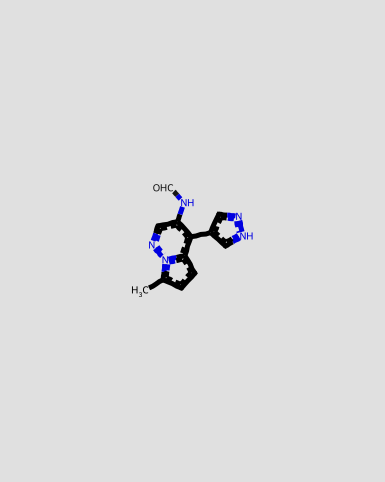 Cc1ccc2c(-c3cn[nH]c3)c(NC=O)cnn12